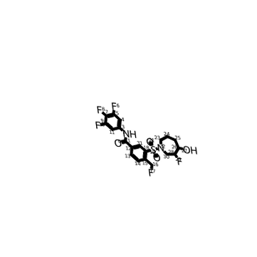 O=C(Nc1cc(F)c(F)c(F)c1)c1ccc(CF)c(S(=O)(=O)N2CCCC(O)C(F)C2)c1